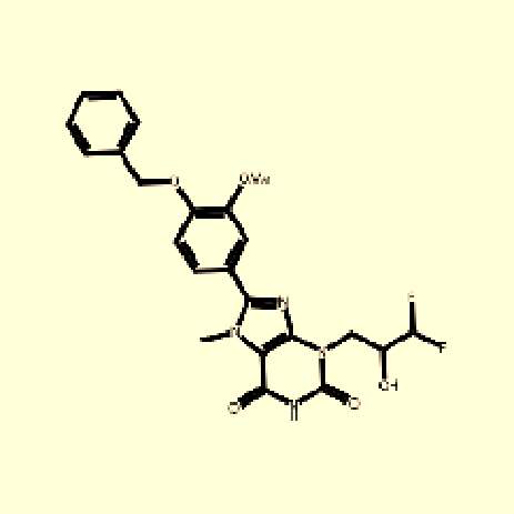 COc1cc(-c2nc3c(c(=O)[nH]c(=O)n3CC(O)C(F)F)n2C)ccc1OCc1ccccc1